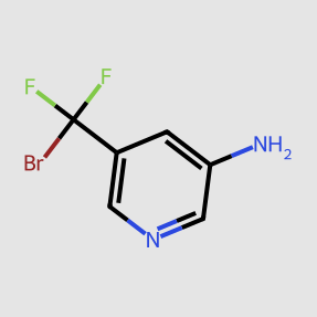 Nc1cncc(C(F)(F)Br)c1